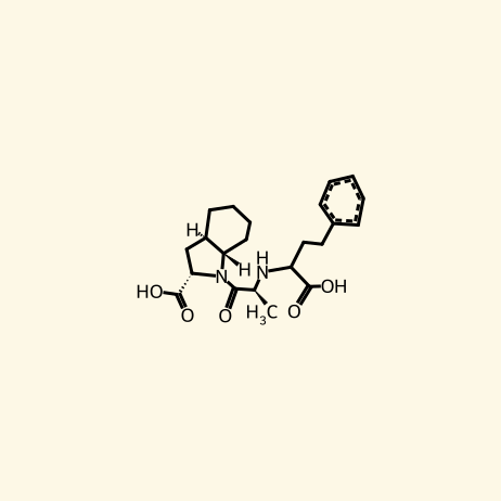 C[C@H](NC(CCc1ccccc1)C(=O)O)C(=O)N1[C@H](C(=O)O)C[C@H]2CCCC[C@@H]21